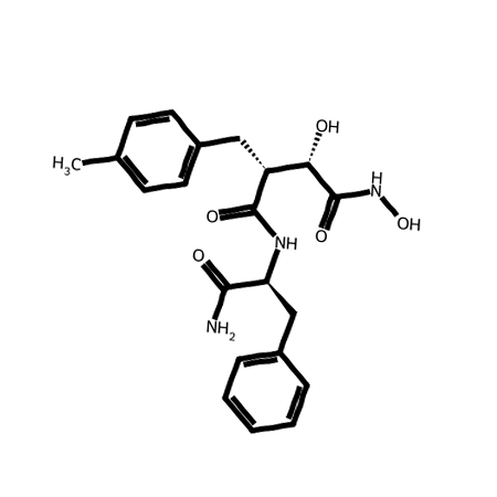 Cc1ccc(C[C@@H](C(=O)N[C@@H](Cc2ccccc2)C(N)=O)[C@H](O)C(=O)NO)cc1